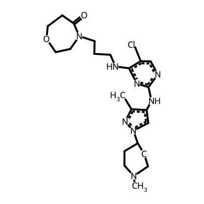 Cc1nn(C2CCN(C)CC2)cc1Nc1ncc(Cl)c(NCCCN2CCOCCC2=O)n1